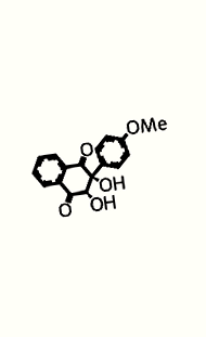 COc1ccc([C@@]2(O)C(=O)c3ccccc3C(=O)[C@@H]2O)cc1